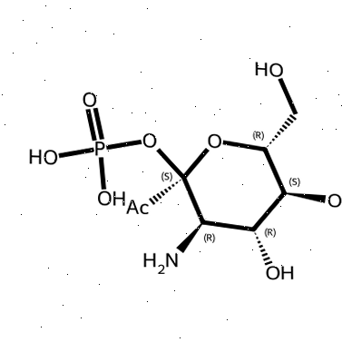 CC(=O)[C@]1(OP(=O)(O)O)O[C@H](CO)[C@@H](O)[C@H](O)[C@H]1N